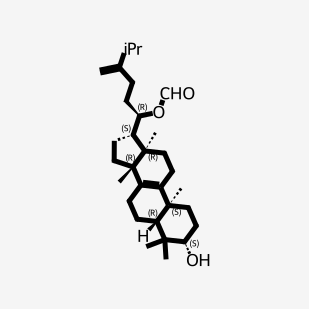 C=C(CC[C@@H](OC=O)[C@H]1CC[C@@]2(C)C3=C(CC[C@]12C)[C@@]1(C)CC[C@H](O)C(C)(C)[C@@H]1CC3)C(C)C